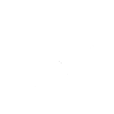 Oc1ccc(-c2csc(-c3ccc(Cl)cc3)n2)cc1O